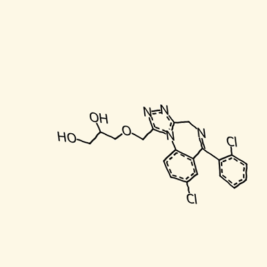 OCC(O)COCc1nnc2n1-c1ccc(Cl)cc1C(c1ccccc1Cl)=NC2